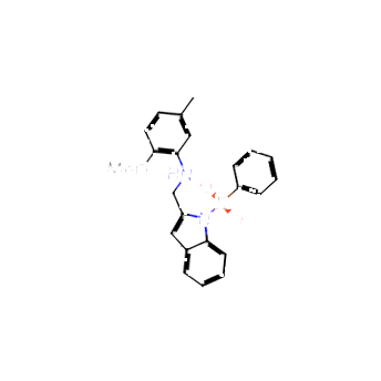 COc1ccc(C)cc1NCc1cc2ccccc2n1S(=O)(=O)c1ccccc1